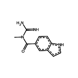 CN(C(=N)N)C(=O)c1ccc2[nH]ccc2c1